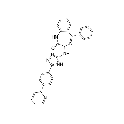 C=NN(/C=C\C)c1ccc(-c2nnc(NC3N=C(c4ccccc4)c4ccccc4NC3=O)[nH]2)cc1